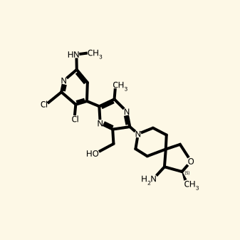 CNc1cc(-c2nc(CO)c(N3CCC4(CC3)CO[C@@H](C)C4N)nc2C)c(Cl)c(Cl)n1